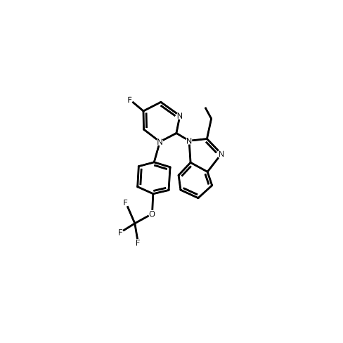 CCc1nc2ccccc2n1C1N=CC(F)=CN1c1ccc(OC(F)(F)F)cc1